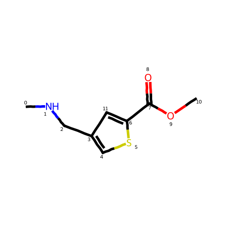 CNCc1csc(C(=O)OC)c1